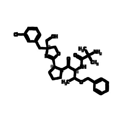 CC(OCc1ccccc1)[C@H](NC(=O)C(C)(C)N)C(=O)N1CCC[C@H]1C1=N[C@](CO)(Cc2cccc(Cl)c2)CO1